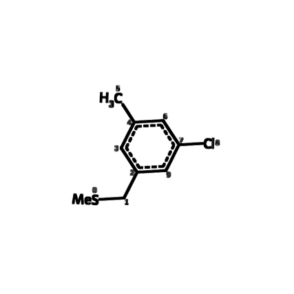 CSCc1cc(C)cc(Cl)c1